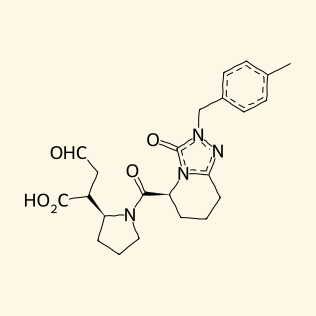 Cc1ccc(Cn2nc3n(c2=O)[C@H](C(=O)N2CCC[C@H]2C(CC=O)C(=O)O)CCC3)cc1